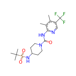 Cc1c(C(F)(F)F)cnc(NC(=O)N2CCC(NS(=O)(=O)C(C)(C)C)CC2)c1C